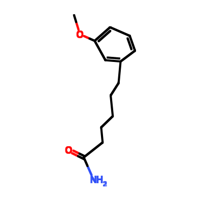 COc1cccc(CCCCCC(N)=O)c1